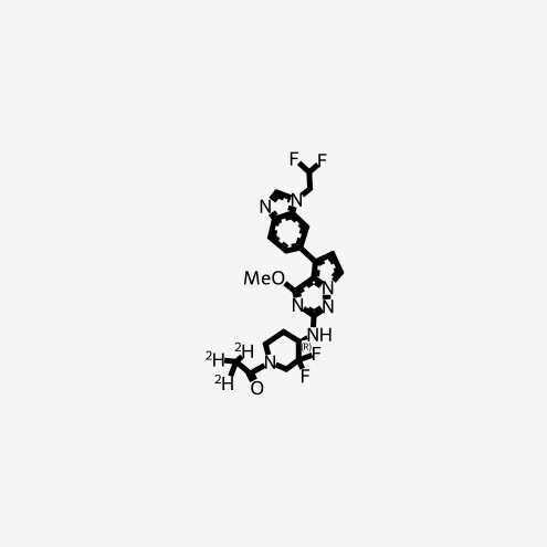 [2H]C([2H])([2H])C(=O)N1CC[C@@H](Nc2nc(OC)c3c(-c4ccc5ncn(CC(F)F)c5c4)ccn3n2)C(F)(F)C1